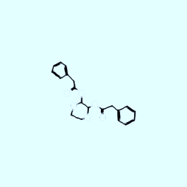 O=C(Cc1ccccc1)OC1OCCOC1OC(=O)Cc1ccccc1